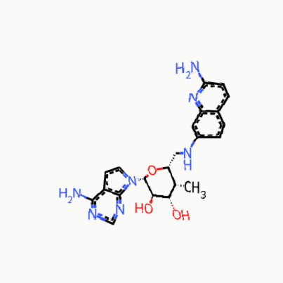 C[C@@H]1[C@H](O)[C@@H](O)[C@H](n2ccc3c(N)ncnc32)O[C@@H]1CNc1ccc2ccc(N)nc2c1